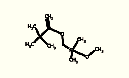 C=C(OC[Si](C)(C)OC)C(C)(C)C